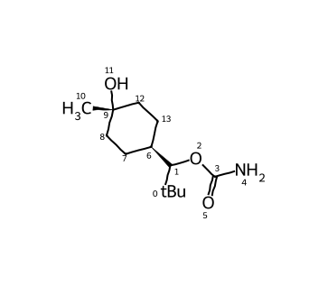 CC(C)(C)C(OC(N)=O)[C@H]1CC[C@](C)(O)CC1